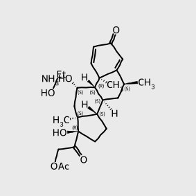 CC(=O)OCC(=O)[C@@]1(O)CC[C@H]2[C@@H]3C[C@H](C)C4=CC(=O)C=C[C@]4(C)[C@H]3[C@@H](O)C[C@@]21C.CCO.N